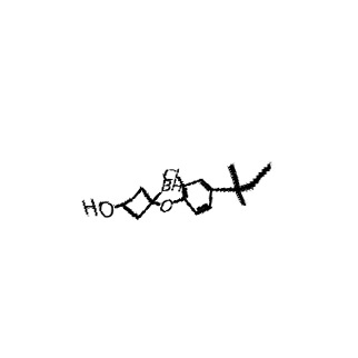 BC1(Oc2ccc(C(C)(C)C)cc2Cl)CC(O)C1